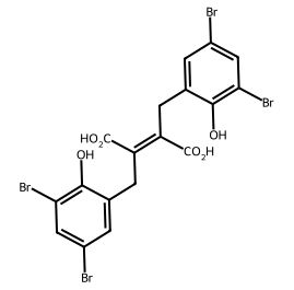 O=C(O)C(Cc1cc(Br)cc(Br)c1O)=C(Cc1cc(Br)cc(Br)c1O)C(=O)O